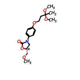 COC[C@H]1CN(c2ccc(OCCC(C)(OC)OC)cc2)C(=O)O1